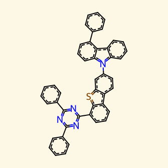 c1ccc(-c2nc(-c3ccccc3)nc(-c3cccc4c3sc3cc(-n5c6ccccc6c6c(-c7ccccc7)cccc65)ccc34)n2)cc1